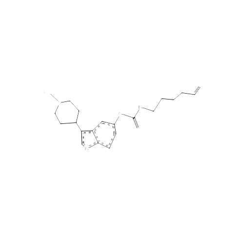 C=CCCCCNC(=O)Nc1ccc2[nH]cc(C3CCN(CCCCC)CC3)c2c1